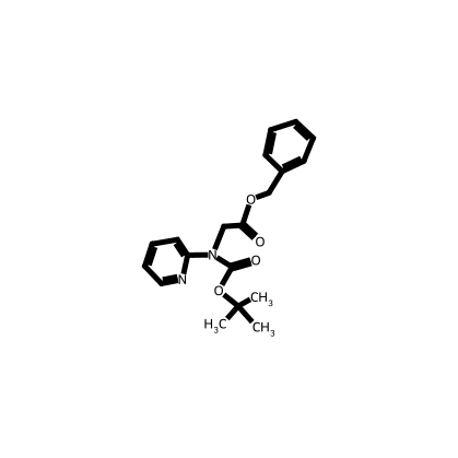 CC(C)(C)OC(=O)N(CC(=O)OCc1ccccc1)c1ccccn1